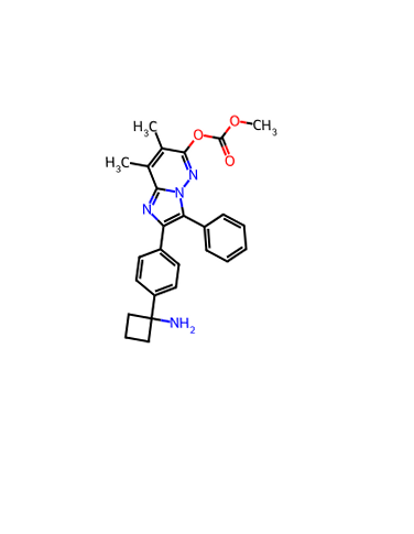 COC(=O)Oc1nn2c(-c3ccccc3)c(-c3ccc(C4(N)CCC4)cc3)nc2c(C)c1C